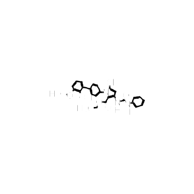 CCOC(=O)c1c(NC(=O)Nc2ccccc2)cc(Cl)n1-c1ccc(-c2cccc(OC)c2O)cc1